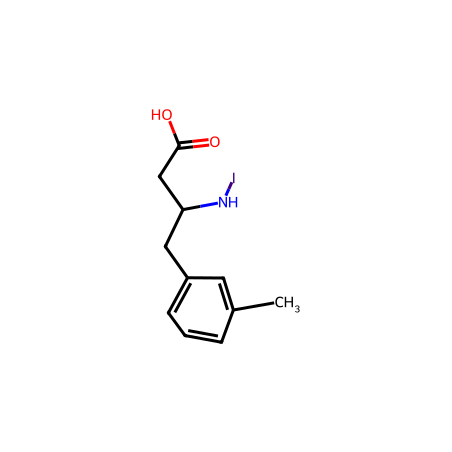 Cc1cccc(CC(CC(=O)O)NI)c1